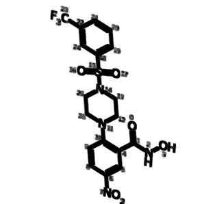 O=C(NO)c1cc([N+](=O)[O-])ccc1N1CCN(S(=O)(=O)c2cccc(C(F)(F)F)c2)CC1